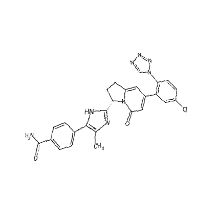 Cc1nc([C@@H]2CCc3cc(-c4cc(Cl)ccc4-n4cnnn4)cc(=O)n32)[nH]c1-c1ccc(C(N)=O)cc1